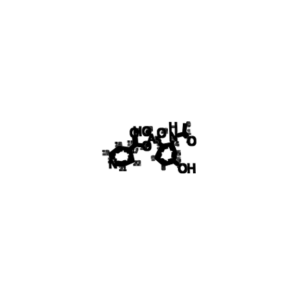 CC(=O)Nc1cc(O)ccc1[As](=O)(O)OC(=O)c1ccncc1